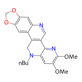 CCCCN1Cc2c(cnc3cc4c(cc23)OCO4)-c2nc(OC)c(OC)cc21